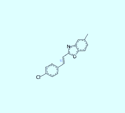 Cc1ccc2oc(/C=C/c3ccc(Cl)cc3)nc2c1